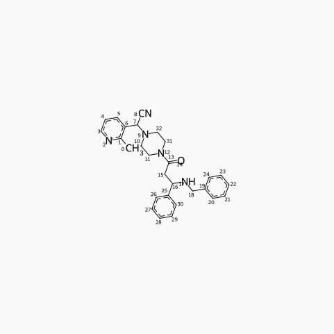 Cc1ncccc1C(C#N)N1CCN(C(=O)CC(NCc2ccccc2)c2ccccc2)CC1